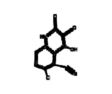 N#Cc1c(Cl)ccc2[nH]c(=O)c(=O)n(O)c12